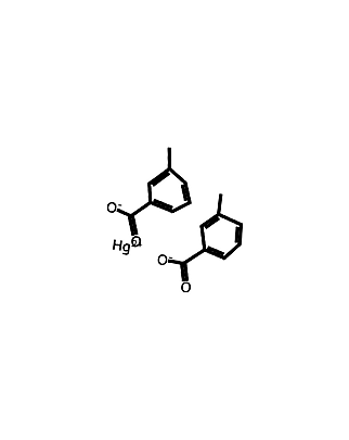 Cc1cccc(C(=O)[O-])c1.Cc1cccc(C(=O)[O-])c1.[Hg+2]